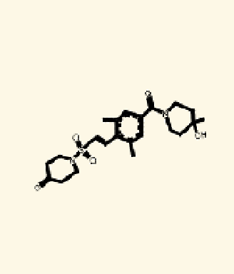 Cc1cc(C(=O)N2CCC(C)(O)CC2)cc(C)c1/C=C/S(=O)(=O)N1CCC(=O)CC1